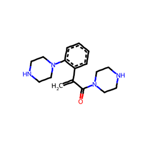 C=C(C(=O)N1CCNCC1)c1ccccc1N1CCNCC1